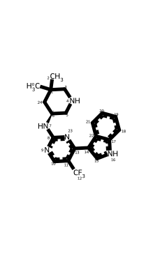 CC1(C)CNC[C@@H](Nc2ncc(C(F)(F)F)c(-c3c[nH]c4ccccc34)n2)C1